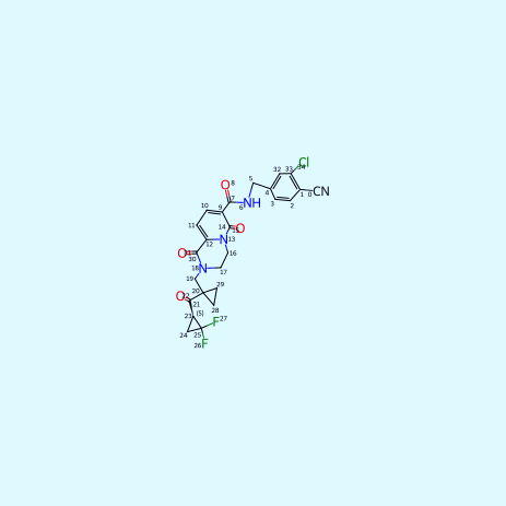 N#Cc1ccc(CNC(=O)c2ccc3n(c2=O)CCN(CC2(C(=O)[C@@H]4CC4(F)F)CC2)C3=O)cc1Cl